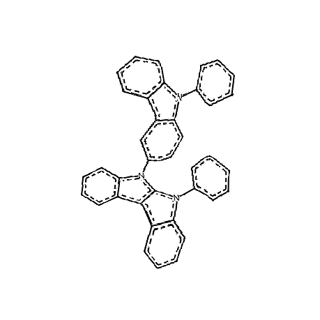 c1ccc(-n2c3ccccc3c3cc(-n4c5ccccc5c5c6ccccc6n(-c6ccccc6)c54)ccc32)cc1